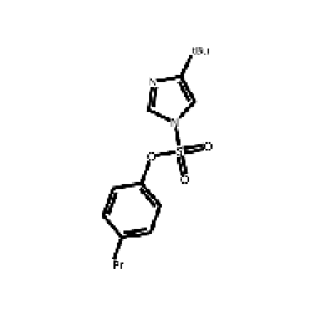 CC(C)c1ccc(OS(=O)(=O)n2cnc(C(C)(C)C)c2)cc1